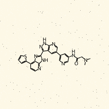 CN(C)CC(=O)Nc1cncc(-c2cnc3[nH]nc(-c4nc5c(-c6cccs6)ccnc5[nH]4)c3c2)c1